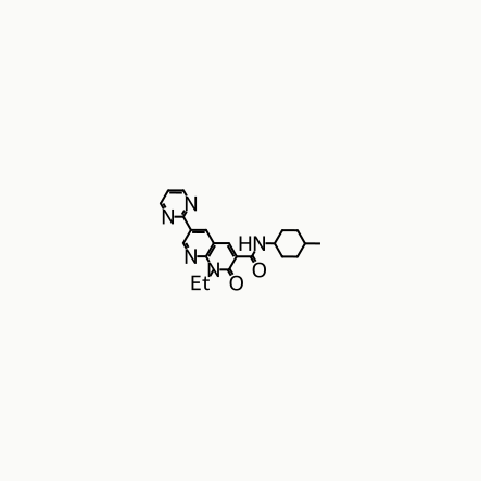 CCn1c(=O)c(C(=O)NC2CCC(C)CC2)cc2cc(-c3ncccn3)cnc21